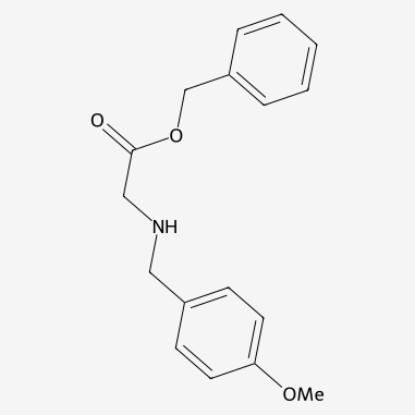 COc1ccc(CNCC(=O)OCc2ccccc2)cc1